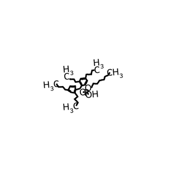 CCCCCCCCOP(O)OC(c1ccc(CCCC)cc1CCCC)c1ccc(CCCC)cc1CCCC